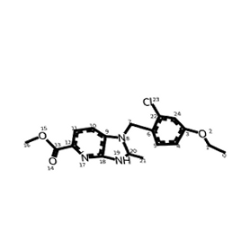 CCOc1ccc(CN2c3ccc(C(=O)OC)nc3NC2C)c(Cl)c1